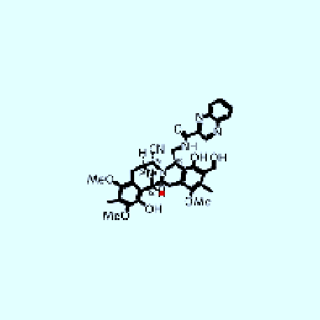 COc1c(C)c(OC)c2c(c1O)[C@H]1[C@@H]3Cc4c(OC)c(C)c(CO)c(O)c4[C@H](CNC(=O)c4cnc5ccccc5n4)N3[C@@H](C#N)[C@H](C2)N1C